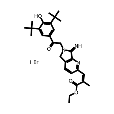 Br.CCOC(=O)C(C)=Cc1ccc2c(n1)C(=N)N(CC(=O)c1cc(C(C)(C)C)c(O)c(C(C)(C)C)c1)C2